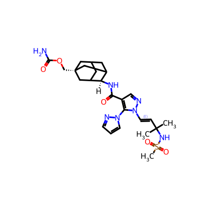 CC(C)(/C=C/n1ncc(C(=O)N[C@H]2C3CC4CC2C[C@](COC(N)=O)(C4)C3)c1-n1cccn1)NS(C)(=O)=O